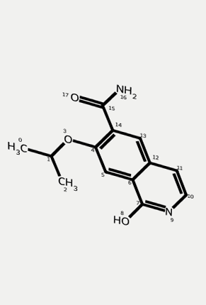 CC(C)Oc1cc2c(O)nccc2cc1C(N)=O